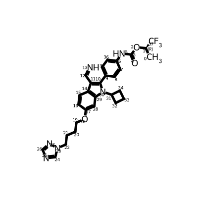 C[C@@H](OC(=O)Nc1ccc(-c2c(C=N)c3ccc(OCCCCn4cncn4)cc3n2C2CCC2)cc1)C(F)(F)F